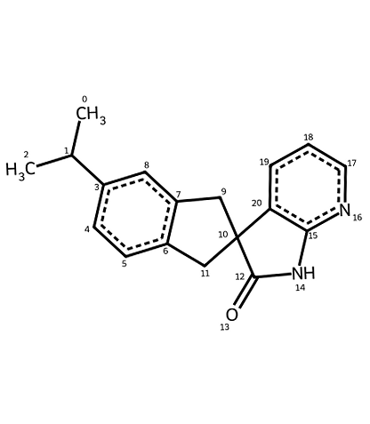 CC(C)c1ccc2c(c1)CC1(C2)C(=O)Nc2ncccc21